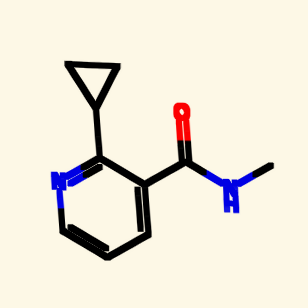 CNC(=O)c1cccnc1C1CC1